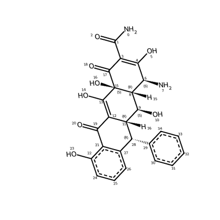 NC(=O)C1=C(O)[C@@H](N)[C@@H]2[C@@H](O)[C@H]3C(=C(O)[C@]2(O)C1=O)C(=O)c1c(O)cccc1[C@H]3c1ccccc1